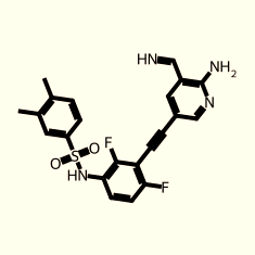 Cc1ccc(S(=O)(=O)Nc2ccc(F)c(C#Cc3cnc(N)c(C=N)c3)c2F)cc1C